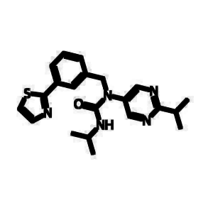 CC(C)NC(=O)N(Cc1cccc(-c2nccs2)c1)c1cnc(C(C)C)nc1